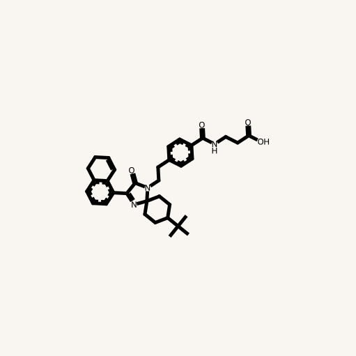 CC(C)(C)C1CCC2(CC1)N=C(c1cccc3c1C=CCC3)C(=O)N2CCc1ccc(C(=O)NCCC(=O)O)cc1